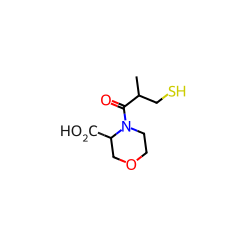 CC(CS)C(=O)N1CCOCC1C(=O)O